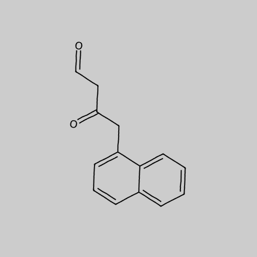 O=CCC(=O)Cc1cccc2ccccc12